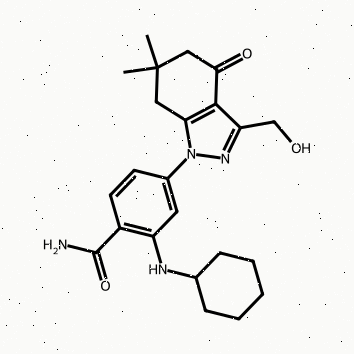 CC1(C)CC(=O)c2c(CO)nn(-c3ccc(C(N)=O)c(NC4CCCCC4)c3)c2C1